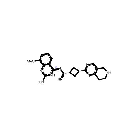 COc1cccc2/c(=N/C(=N)[C@H]3C[C@H](c4ncc5c(n4)CCNC5)C3)[nH]c(N)nc12